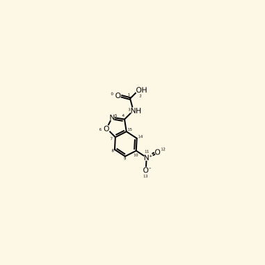 O=C(O)Nc1noc2ccc([N+](=O)[O-])cc12